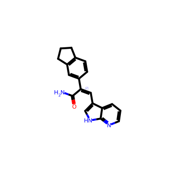 NC(=O)/C(=C\c1c[nH]c2ncccc12)c1ccc2c(c1)CCC2